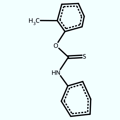 Cc1ccccc1OC(=S)Nc1ccccc1